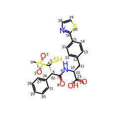 CS(=O)(=O)C(S)[C@H](C(=O)N[C@@H](Cc1ccc(-c2nccs2)cc1)C(=O)O)c1ccccc1